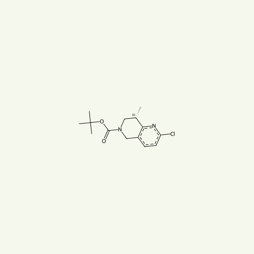 C[C@H]1CN(C(=O)OC(C)(C)C)Cc2ccc(Cl)nc21